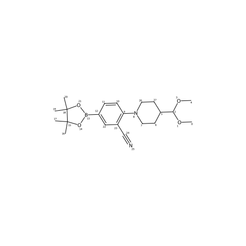 COC(OC)C1CCN(c2ccc(B3OC(C)(C)C(C)(C)O3)cc2C#N)CC1